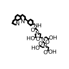 O=C(O)CN(CCN(CC(=O)O)CC(=O)O)CCN(CC(=O)O)CC(=O)Nc1ccc(-c2ccc3ccc4cccnc4c3n2)cc1